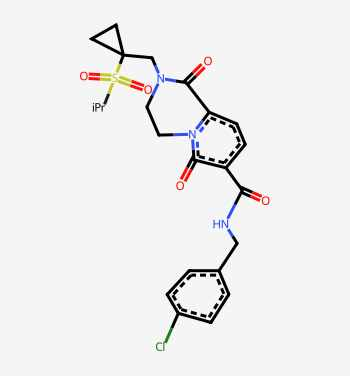 CC(C)S(=O)(=O)C1(CN2CCn3c(ccc(C(=O)NCc4ccc(Cl)cc4)c3=O)C2=O)CC1